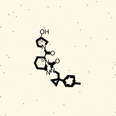 Cc1ccc(C2(Cn3nc4n(c3=O)[C@H](C(=O)N3CC[C@H](O)C3)CCC4)CC2)cc1